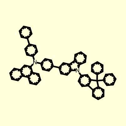 c1ccc(-c2ccc(N(c3ccc(-c4ccc5c(c4)c4ccccc4n5-c4ccc5c(c4)C(c4ccccc4)(c4ccccc4)c4ccccc4-5)cc3)c3cc4ccccc4c4ccccc34)cc2)cc1